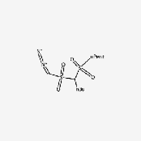 CCCCCS(=O)(=O)C(CCCC)S(=O)(=O)C=[N+]=[N-]